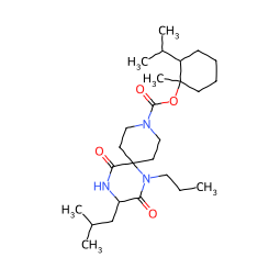 CCCN1C(=O)C(CC(C)C)NC(=O)C12CCN(C(=O)OC1(C)CCCCC1C(C)C)CC2